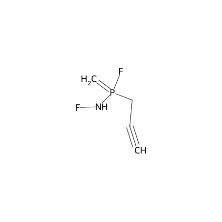 C#CCP(=C)(F)NF